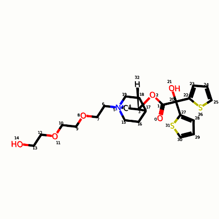 O=C(O[C@H]1C[N+]2(CCOCCOCCO)CCC1CC2)C(O)(c1cccs1)c1cccs1